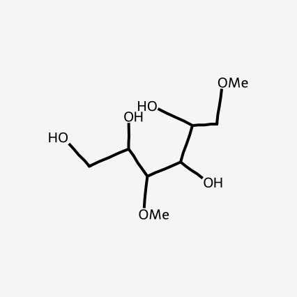 COCC(O)C(O)C(OC)C(O)CO